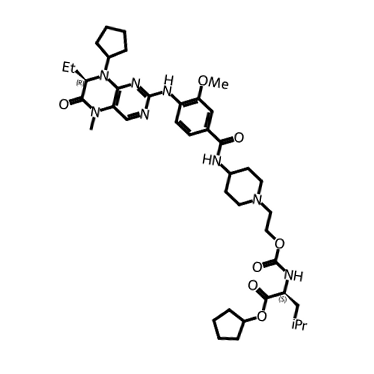 CC[C@@H]1C(=O)N(C)c2cnc(Nc3ccc(C(=O)NC4CCN(CCOC(=O)N[C@@H](CC(C)C)C(=O)OC5CCCC5)CC4)cc3OC)nc2N1C1CCCC1